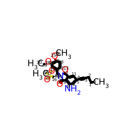 CCCC#Cc1cc(N)c2c(c1)C(=O)N([C@H](CS(C)(=O)=O)c1ccc(OC)c(OCC)c1)C2=O